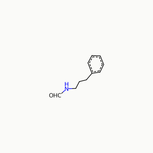 O=CNCCCc1ccccc1